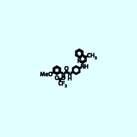 COc1cccc(N(OC(=O)C(F)(F)F)C(=O)NC2CCC(Nc3cc(C)c4ccccc4n3)CC2)c1